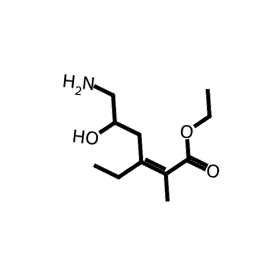 CCOC(=O)C(C)=C(CC)CC(O)CN